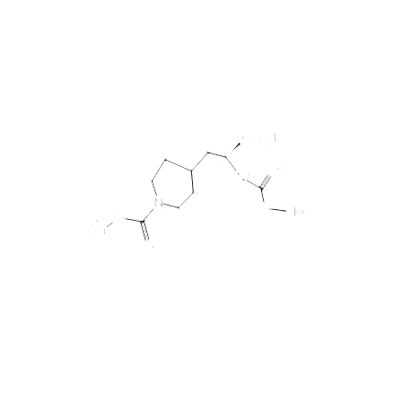 CC(C)(C)OC(=O)N[C@@H](CC1CCN(C(=O)OC(C)(C)C)CC1)C(=O)O